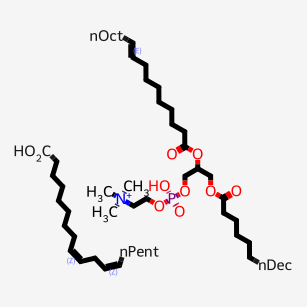 CCCCC/C=C\C/C=C\CCCCCCCC(=O)O.CCCCCCCC/C=C/CCCCCCCC(=O)OC(COC(=O)CCCCCCCCCCCCCCC)COP(=O)(O)OCC[N+](C)(C)C